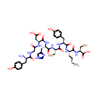 CSCC[C@H](NC(=O)[C@H](Cc1ccc(O)cc1)NC(=O)[C@H](CS)NC(=O)[C@H](Cc1c[nH]cn1)NC(=O)[C@H](CC(=O)O)NC(=O)CNC(=O)[C@H](N)Cc1ccc(O)cc1)C(=O)N[C@@H](CS)C(=O)O